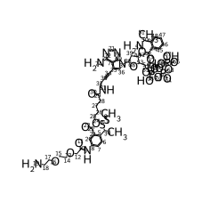 CSSC(C)c1ccc(NC(=O)COCCOCCN)cc1C(=O)OCCCCC(=O)NCC#Cc1cn([C@H]2C[C@@H](OC(=O)c3ccccc3C(C)N)C(COP(=O)(O)OP(=O)(O)OP(=O)(O)O)O2)c2ncnc(N)c12